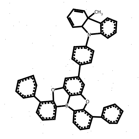 CC12C=CC=CC1N(c1ccc(-c3cc4c5c(c3)Oc3c(cccc3-c3ccccc3)B5c3cccc(-c5ccccc5)c3O4)cc1)c1ccccc12